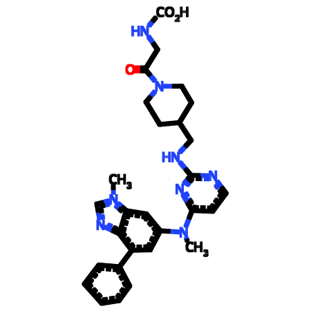 CN(c1cc(-c2ccccc2)c2ncn(C)c2c1)c1ccnc(NCC2CCN(C(=O)CNC(=O)O)CC2)n1